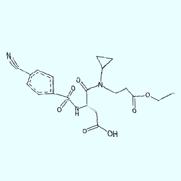 CCOC(=O)CCN(C(=O)[C@H](CC(=O)O)NS(=O)(=O)c1ccc(C#N)cc1)C1CC1